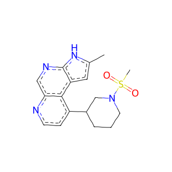 Cc1cc2c(ncc3nccc(C4CCCN(S(C)(=O)=O)C4)c32)[nH]1